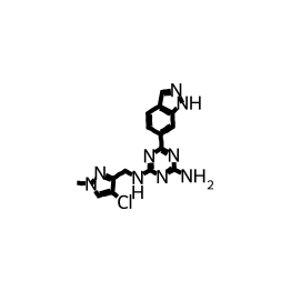 Cn1cc(Cl)c(CNc2nc(N)nc(-c3ccc4cn[nH]c4c3)n2)n1